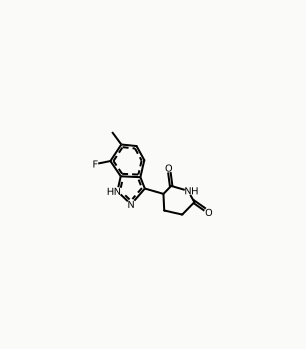 Cc1ccc2c(C3CCC(=O)NC3=O)n[nH]c2c1F